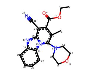 CCOC(=O)c1c(C)c(N2CCOCC2)n2c(nc3ccccc32)c1C#N